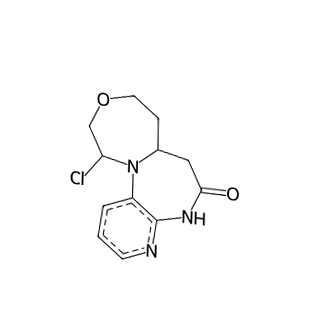 O=C1CC2CCOCC(Cl)N2c2cccnc2N1